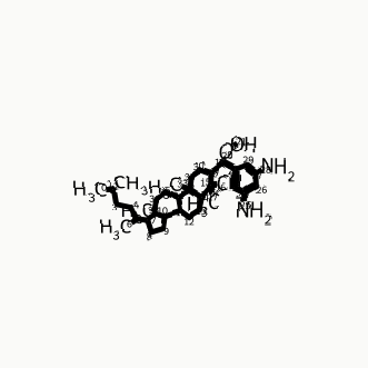 CC(C)CCC(C)C1CCC2C3CCC4C(C)(C)C(C(OO)c5cc(N)cc(N)c5)CCC4(C)C3CCC12C